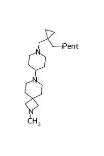 CCCC(C)CC1(CN2CCC(N3CCC4(CC3)CN(C)C4)CC2)CC1